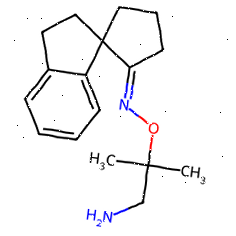 CC(C)(CN)ON=C1CCCC12CCc1ccccc12